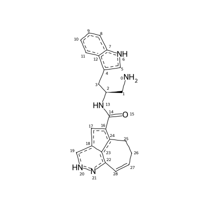 NC[C@H](Cc1c[nH]c2ccccc12)NC(=O)c1cc2c[nH]nc3c-2c1CCC=C3